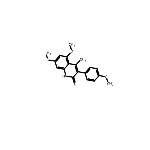 COc1ccc(-c2c(C)c3c(OC)cc(OC)cc3[nH]c2=O)cc1